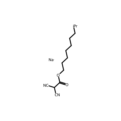 CC(C)CCCCCCCOC(=O)C(C#N)C#N.[Na]